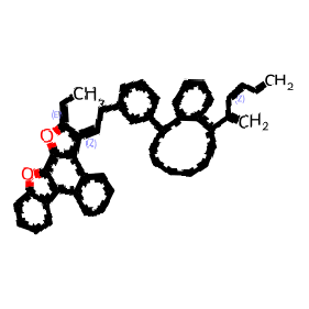 C=C/C=C\C(=C)c1ccccccc(-c2cccc(C/C=c3\c(=C/C)oc4c5oc6ccccc6c5c5ccccc5c34)c2)c2ccccc12